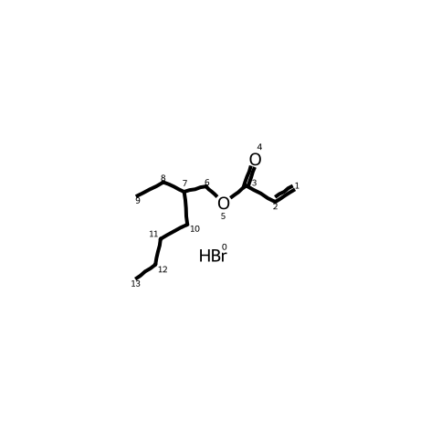 Br.C=CC(=O)OCC(CC)CCCC